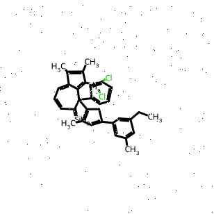 CCc1cc(C)cc(C2=CC(C)=C(C3(c4ccccc4)C(=[SiH2])C=CC=C4C(C)=C(C)[C]([Hf]([Cl])[Cl])=C43)C2)c1